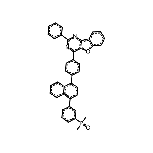 CP(C)(=O)c1cccc(-c2ccc(-c3ccc(-c4nc(-c5ccccc5)nc5c4oc4ccccc45)cc3)c3ccccc23)c1